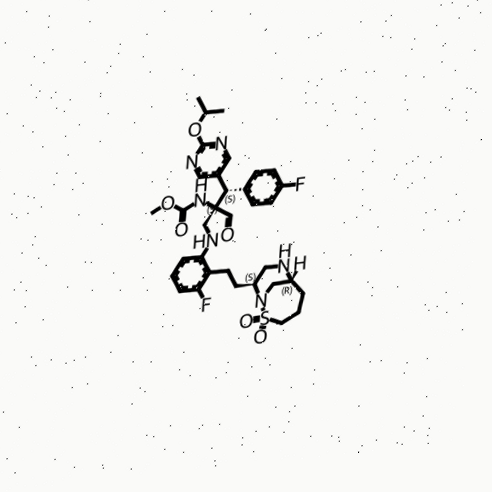 COC(=O)N[C@](C=O)(CNc1cccc(F)c1CC[C@H]1CN[C@@H]2CCCS(=O)(=O)N1C2)[C@@H](c1ccc(F)cc1)c1cnc(OC(C)C)nc1